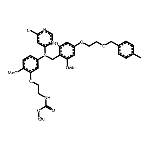 COc1ccc(N(Cc2c(OC)cc(OCCOCc3ccc(C)cc3)cc2OC)c2cc(Cl)ncn2)cc1OCCNC(=O)OC(C)(C)C